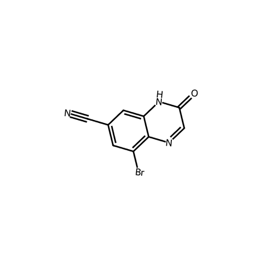 N#Cc1cc(Br)c2ncc(=O)[nH]c2c1